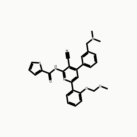 COCOc1ccccc1-c1cc(-c2cccc(CN(C)C)c2)c(C#N)c(NC(=O)c2cccs2)n1